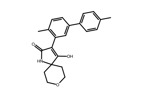 Cc1ccc(-c2ccc(C)c(C3=C(O)C4(CCOCC4)NC3=O)c2)cc1